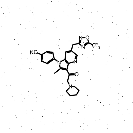 Cc1c(C(=O)CN2CCCCC2)c2ncc(Cc3noc(C(F)(F)F)n3)cc2n1-c1ccc(C#N)cc1